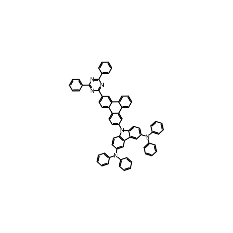 c1ccc(-c2nc(-c3ccccc3)nc(-c3ccc4c5ccc(-n6c7ccc(N(c8ccccc8)c8ccccc8)cc7c7cc(N(c8ccccc8)c8ccccc8)ccc76)cc5c5ccccc5c4c3)n2)cc1